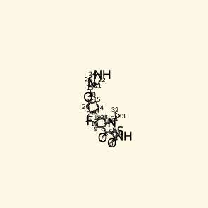 O=c1[nH]sc2c1c(=O)c1cc(F)c(-c3ccc(OCCN4CCNCC4)cc3)cc1n2C1CC1